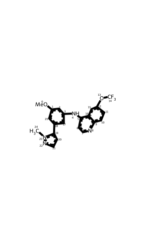 COc1cc(Nc2ccnc3ccc(OC(F)(F)F)cc23)cc(-c2ccnn2C)c1